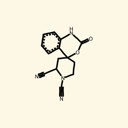 N#CC1CC2(CCN1C#N)OC(=O)Nc1ccccc12